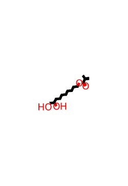 C=C(C)C(=O)OCCCCCCCCC(O)CO